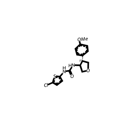 COc1ccc([C@@H]2COCC2NC(=O)Nc2ccc(Cl)s2)cc1